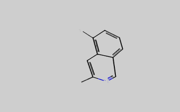 CC(C)c1cccc2cnc(C(=O)O)cc12